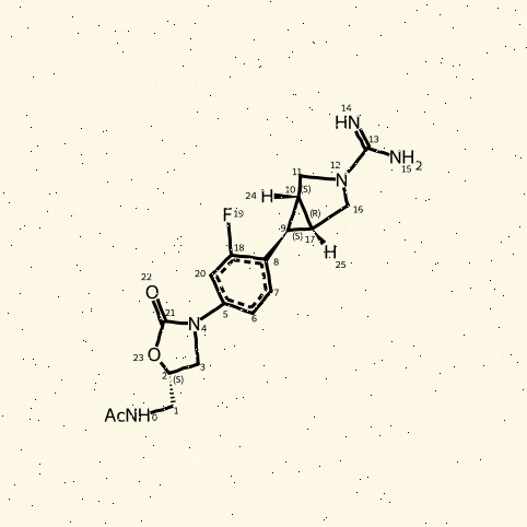 CC(=O)NC[C@H]1CN(c2ccc([C@H]3[C@@H]4CN(C(=N)N)C[C@@H]43)c(F)c2)C(=O)O1